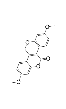 COc1ccc2c(c1)OCc1c-2c(=O)oc2cc(OC)ccc12